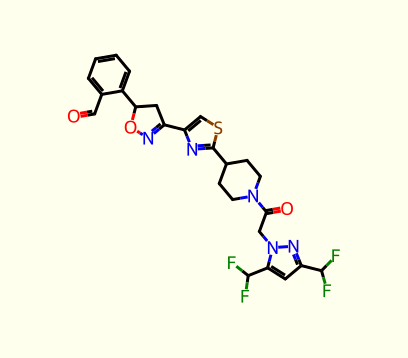 O=Cc1ccccc1C1CC(c2csc(C3CCN(C(=O)Cn4nc(C(F)F)cc4C(F)F)CC3)n2)=NO1